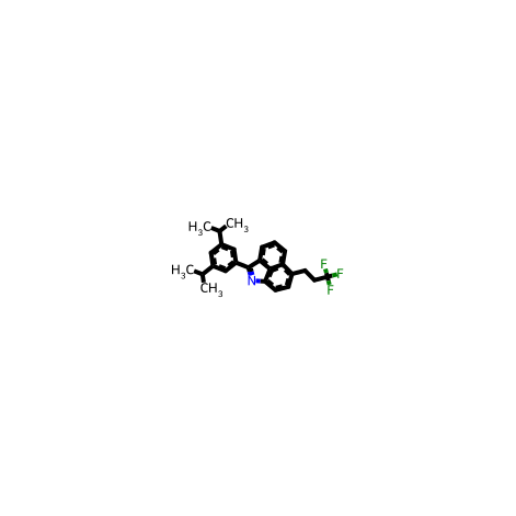 CC(C)c1cc(C2=Nc3ccc(CCC(F)(F)F)c4cccc2c34)cc(C(C)C)c1